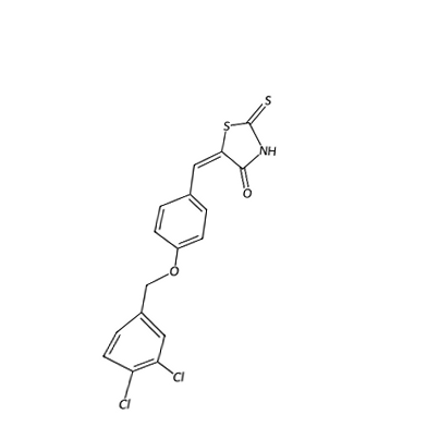 O=C1NC(=S)SC1=Cc1ccc(OCc2ccc(Cl)c(Cl)c2)cc1